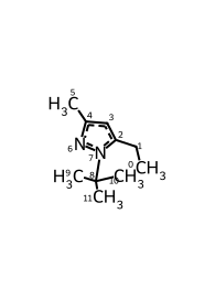 CCc1cc(C)nn1C(C)(C)C